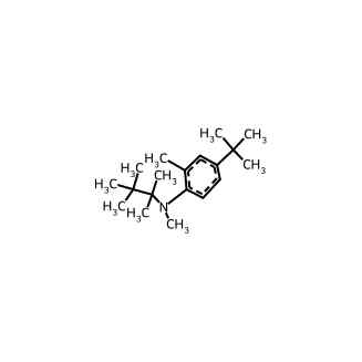 Cc1cc(C(C)(C)C)ccc1N(C)C(C)(C)C(C)(C)C